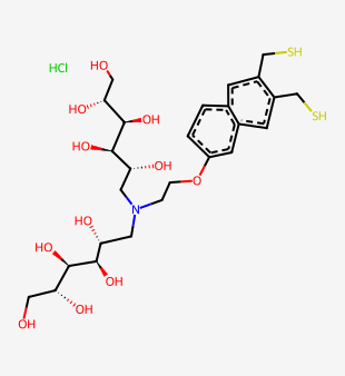 Cl.OC[C@@H](O)[C@@H](O)[C@H](O)[C@H](O)CN(CCOc1ccc2cc(CS)c(CS)cc2c1)C[C@@H](O)[C@@H](O)[C@H](O)[C@H](O)CO